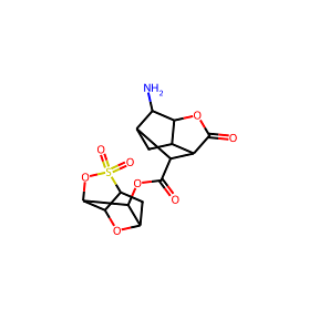 NC1C2CC3C1OC(=O)C3C2C(=O)OC1C2CC3C(O2)C1OS3(=O)=O